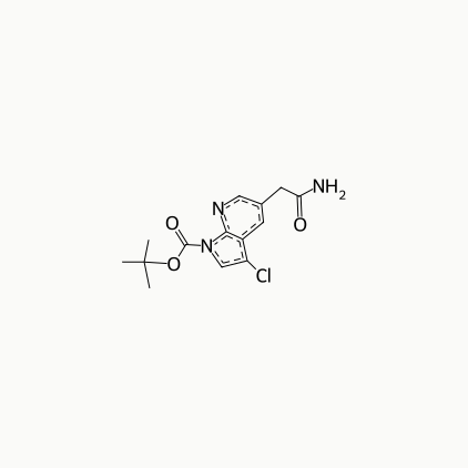 CC(C)(C)OC(=O)n1cc(Cl)c2cc(CC(N)=O)cnc21